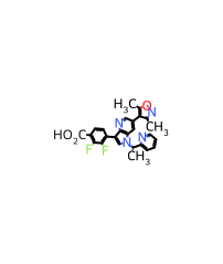 Cc1noc(C)c1-c1cnc2c(-c3ccc(C(=O)O)c(F)c3F)cn([C@@H](C)c3ccccn3)c2c1